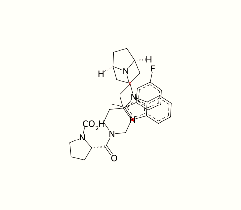 Cc1nc2ccccc2n1C1C[C@H]2CC[C@@H](C1)N2CCC1(c2cccc(F)c2)CCN(C(=O)[C@@H]2CCCN2C(=O)O)CC1